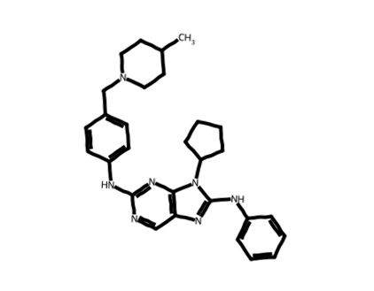 CC1CCN(Cc2ccc(Nc3ncc4nc(Nc5ccccc5)n(C5CCCC5)c4n3)cc2)CC1